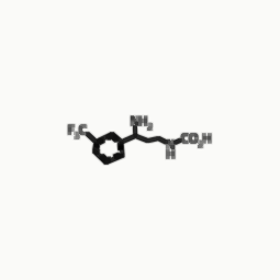 NC(CCNC(=O)O)c1cccc(C(F)(F)F)c1